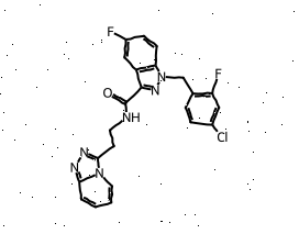 O=C(NCCc1nnc2ccccn12)c1nn(Cc2ccc(Cl)cc2F)c2ccc(F)cc12